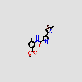 COC(=O)c1ccc(C)c(NC(=O)c2cc(-c3csc(C)n3)cn2C)c1